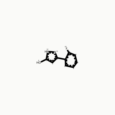 Oc1cc(-c2ccccc2F)n[nH]1